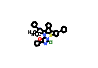 C=C/C(=C\c1c(C)n(-c2nc(Cl)nc3c2oc2ccccc23)c2c3sc4ccc(-c5ccccc5)cc4c3c3ccccc3c12)c1ccccc1